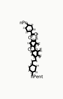 CCCCCC1CCC(CCc2cc3oc4cc(OC(=O)C5CCC(CCC)CC5)c(F)c(F)c4c3c(F)c2F)CC1